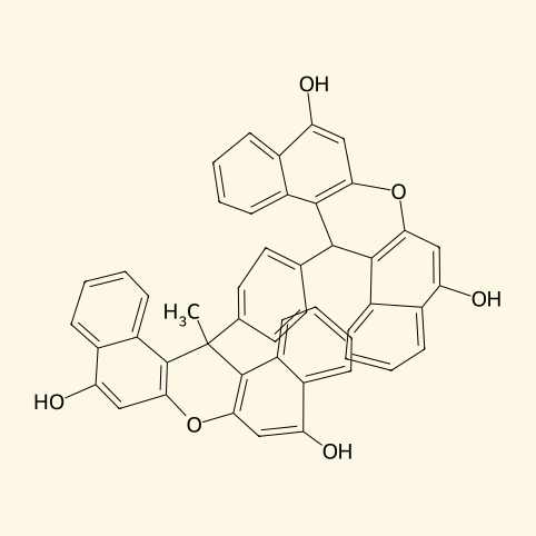 CC1(c2ccc(C3c4c(cc(O)c5ccccc45)Oc4cc(O)c5ccccc5c43)cc2)c2c(cc(O)c3ccccc23)Oc2cc(O)c3ccccc3c21